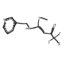 CS/C(=C\C(=O)C(F)(F)F)NCc1cccnc1